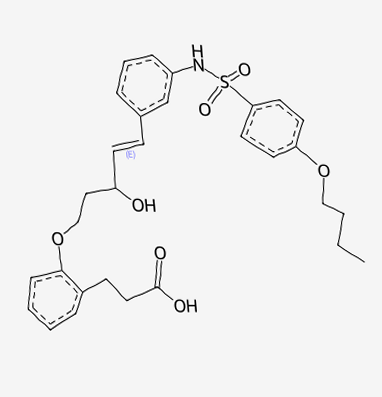 CCCCOc1ccc(S(=O)(=O)Nc2cccc(/C=C/C(O)CCOc3ccccc3CCC(=O)O)c2)cc1